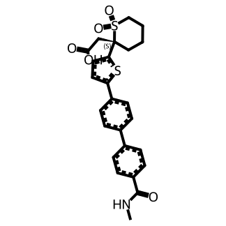 CNC(=O)c1ccc(-c2ccc(-c3ccc([C@@]4(CC(=O)O)CCCCS4(=O)=O)s3)cc2)cc1